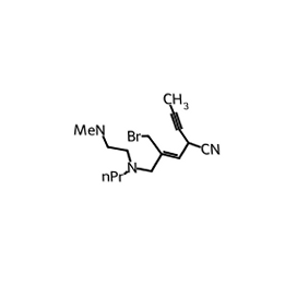 CC#CC(C#N)/C=C(\CBr)CN(CCC)CCNC